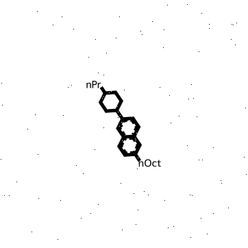 CCCCCCCCc1ccc2cc(C3CCC(CCC)CC3)ccc2c1